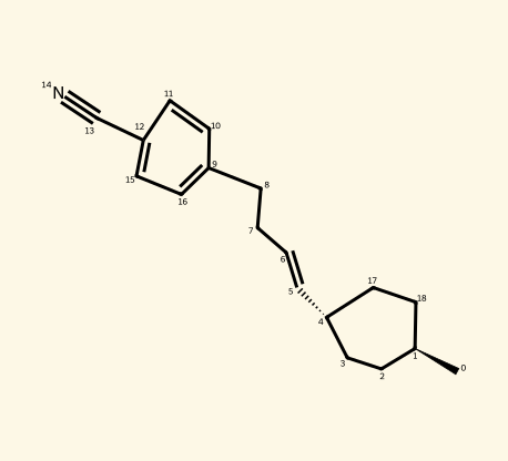 C[C@H]1CC[C@H](C=CCCc2ccc(C#N)cc2)CC1